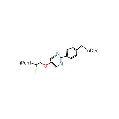 CCCCCCCCCCCc1ccc(-c2ncc(OCC(F)C(C)CCC)cn2)cc1